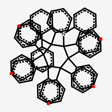 c1ccc(-c2ccccc2N(c2ccccc2)C2(c3ccccc3)C(c3ccccc3)(c3ccccc3)C(c3ccccc3)(c3ccccc3)C(c3ccccc3)(c3ccccc3)C(c3ccccc3)(c3ccccc3)C2(c2ccccc2)c2ccccc2)cc1